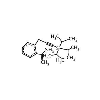 C=C([SiH3])c1ccccc1CC#C[Si](C(C)C)(C(C)C)C(C)C